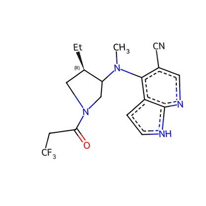 CC[C@@H]1CN(C(=O)CC(F)(F)F)CC1N(C)c1c(C#N)cnc2[nH]ccc12